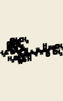 COc1cc2nc(NCCCCNC(=O)CC(C)C)c3nnc(C)n3c2cc1N(S(C)(=O)=O)S(C)(=O)=O